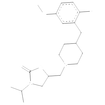 COc1ccc(Br)c(CC2CCN(CC3CN(C(C)C)C(=O)O3)CC2)c1